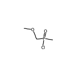 COCP(C)(=O)Cl